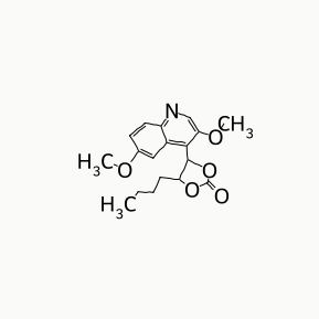 CCCCC1OC(=O)OC1c1c(OC)cnc2ccc(OC)cc12